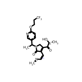 C=N/C=C\C1=C(C(=O)[C@@H](C)O)CN(C(C)c2ccc(OCCC(F)(F)F)nc2)C1=O